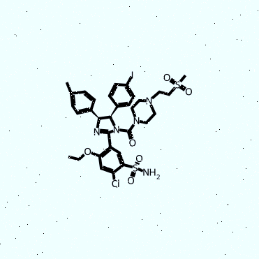 CCOc1cc(Cl)c(S(N)(=O)=O)cc1C1=N[C@@H](c2ccc(C)cc2)[C@@H](c2ccc(I)cc2)N1C(=O)N1CCN(CCS(C)(=O)=O)CC1